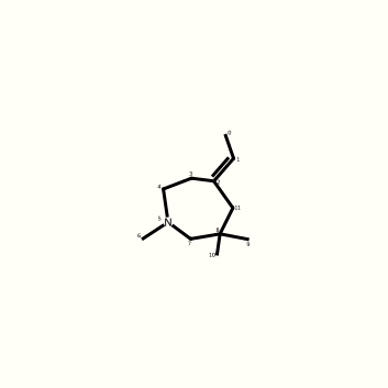 C/C=C1\CCN(C)CC(C)(C)C1